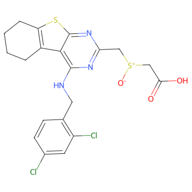 O=C(O)C[S+]([O-])Cc1nc(NCc2ccc(Cl)cc2Cl)c2c3c(sc2n1)CCCC3